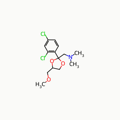 COCC1COC(CN(C)C)(c2ccc(Cl)cc2Cl)O1